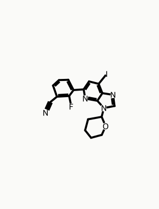 N#Cc1cccc(-c2cc(I)c3ncn(C4CCCCO4)c3n2)c1F